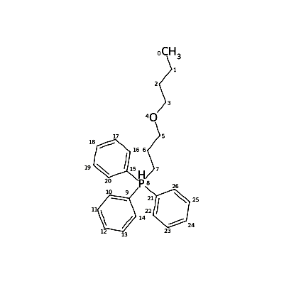 CCCCOCCC[PH](c1ccccc1)(c1ccccc1)c1ccccc1